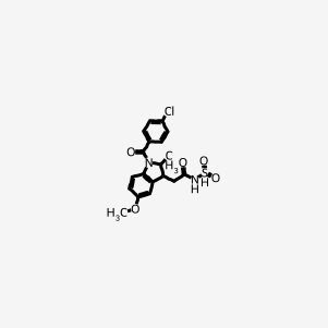 COc1ccc2c(c1)C(CC(=O)N[SH](=O)=O)C(C)N2C(=O)c1ccc(Cl)cc1